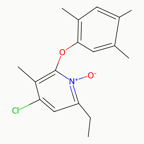 CCc1cc(Cl)c(C)c(Oc2cc(C)c(C)cc2C)[n+]1[O-]